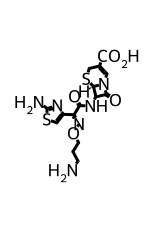 NCCCON=C(C(=O)NC1C(=O)N2C=C(C(=O)O)CS[C@H]12)c1csc(N)n1